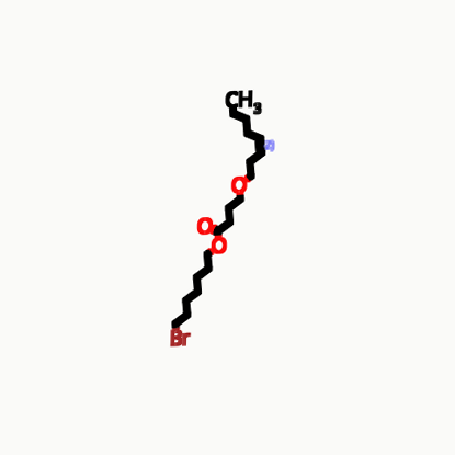 CCCC/C=C\CCOCCCC(=O)OCCCCCCCBr